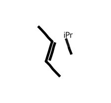 CC(C)C.CC=CC